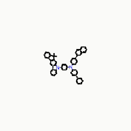 CC1(C)c2ccccc2-c2cc3c4ccccc4n(-c4ccc(N(c5ccc(-c6ccccc6)cc5)c5ccc(-c6ccc7ccccc7c6)cc5)cc4)c3cc21